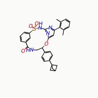 Cc1cccc(C)c1-c1cc2nc(n1)NS(=O)(=O)c1cccc(c1)C(=O)NCC(c1ccc(C34CC(C3)C4)cc1)O2